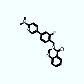 CN(C)c1ccc(-c2ccc(Cn3cnc4ccccc4c3=O)c(F)c2)cn1